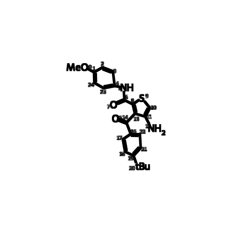 COc1ccc(NC(=O)c2scc(N)c2C(=O)c2ccc(C(C)(C)C)cc2)cc1